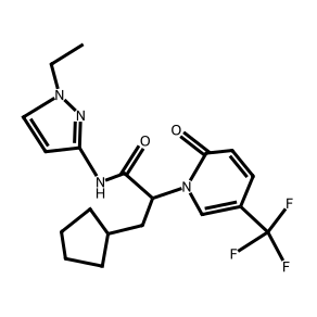 CCn1ccc(NC(=O)C(CC2CCCC2)n2cc(C(F)(F)F)ccc2=O)n1